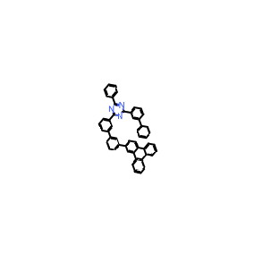 c1ccc(-c2cccc(-c3nc(-c4ccccc4)nc(-c4cccc(-c5cccc(-c6ccc7c8ccccc8c8ccccc8c7c6)c5)c4)n3)c2)cc1